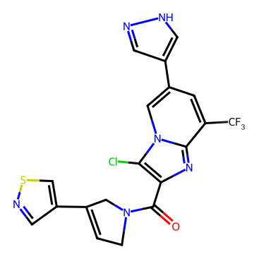 O=C(c1nc2c(C(F)(F)F)cc(-c3cn[nH]c3)cn2c1Cl)N1CC=C(c2cnsc2)C1